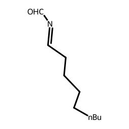 CCCCCCCCC=NC=O